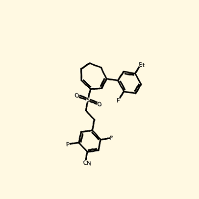 CCc1ccc(F)c(C2=CC(S(=O)(=O)CCc3cc(F)c(C#N)cc3F)=CCCC2)c1